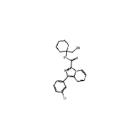 O=C(NC1(CO)CCCCC1)c1nc(-c2cccc(Cl)c2)c2ccccn12